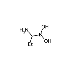 CCC(N)B(O)O